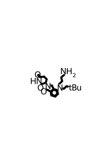 CC(C)(C)CCN(CCCCN)c1cccc2c1CN(C1CCC(=O)NC1=O)C2=O